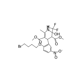 COC(=O)C1=C(C)NC(O)(C(F)(F)F)C(C(=O)OC)C1c1cc([N+](=O)[O-])ccc1OCCCCBr